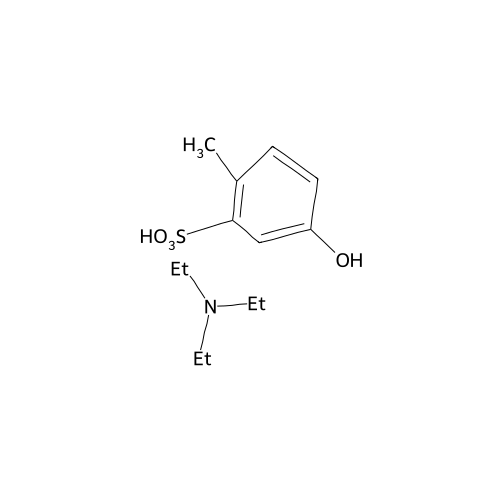 CCN(CC)CC.Cc1ccc(O)cc1S(=O)(=O)O